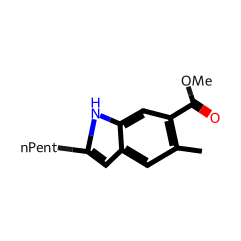 CCCCCc1cc2cc(C)c(C(=O)OC)cc2[nH]1